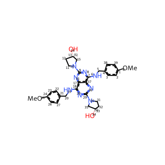 COc1ccc(CNc2nc(N3CC[C@H](O)C3)nc3c(NCc4ccc(OC)cc4)nc(N4CC[C@H](O)C4)nc23)cc1